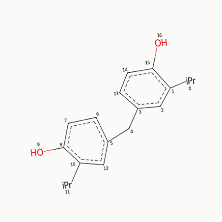 CC(C)c1cc(Cc2ccc(O)c(C(C)C)c2)ccc1O